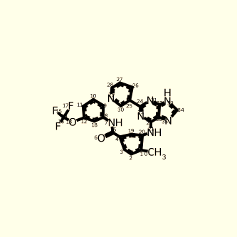 Cc1ccc(C(=O)Nc2cccc(OC(F)(F)F)c2)cc1Nc1nc(-c2cccnc2)nc2[nH]cnc12